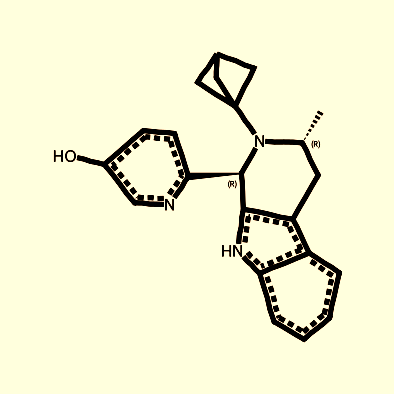 C[C@@H]1Cc2c([nH]c3ccccc23)[C@@H](c2ccc(O)cn2)N1C12CC(C1)C2